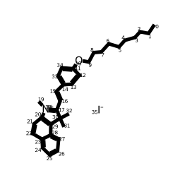 CCCCCCCCCCOc1ccc(/C=C/C2=[N+](C)c3ccc4ccccc4c3C2(C)C)cc1.[I-]